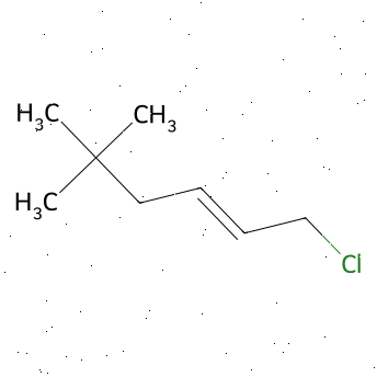 CC(C)(C)C/C=C/CCl